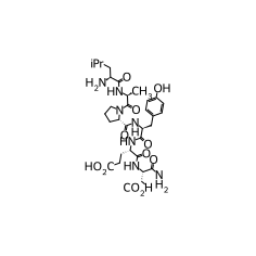 CC(C)C[C@H](N)C(=O)N[C@@H](C)C(=O)N1CCC[C@H]1C(=O)N[C@@H](Cc1ccc(O)cc1)C(=O)N[C@@H](CCC(=O)O)C(=O)N[C@@H](CC(=O)O)C(N)=O